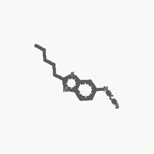 CCCCCc1nc2ccc(N=C=S)cc2s1